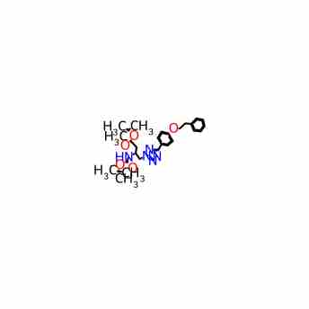 CC(C)(C)OC(=O)CC(Cn1nnc(-c2ccc(OCCc3ccccc3)cc2)n1)NC(=O)OC(C)(C)C